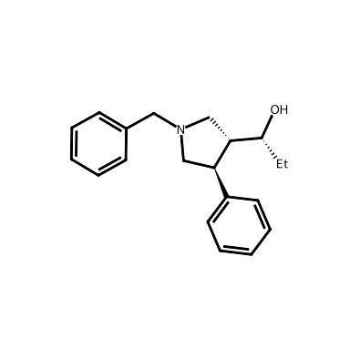 CC[C@@H](O)[C@H]1CN(Cc2ccccc2)C[C@@H]1c1ccccc1